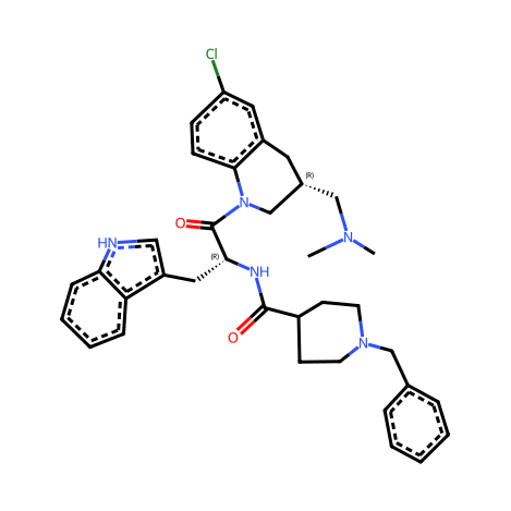 CN(C)C[C@H]1Cc2cc(Cl)ccc2N(C(=O)[C@@H](Cc2c[nH]c3ccccc23)NC(=O)C2CCN(Cc3ccccc3)CC2)C1